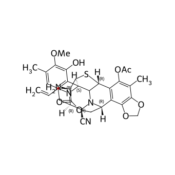 C=CCN1[C@@H]2Cc3cc(C)c(OC)c(O)c3[C@H]1C1[C@@H]3SC[C@H](N)C(=O)OC[C@@H](c4c5c(c(C)c(OC(C)=O)c43)OCO5)N1[C@H]2C#N